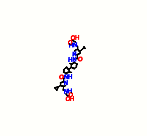 Cc1c(NC(=O)c2cc(C3CC3)c(CNCC(=O)O)cn2)cccc1-c1cccc(NC(=O)c2cc(C3CC3)c(CNCC(=O)O)cn2)c1C